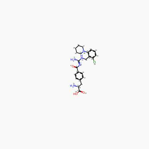 N/C(=N\C(=O)c1ccc(C[C@H](N)C(=O)O)cc1)NCc1c(Cl)cccc1N1CCCCC1